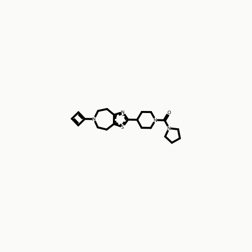 O=C(N1CCCC1)N1CCC(c2nc3c(s2)CCN(C2=CC=C2)CC3)CC1